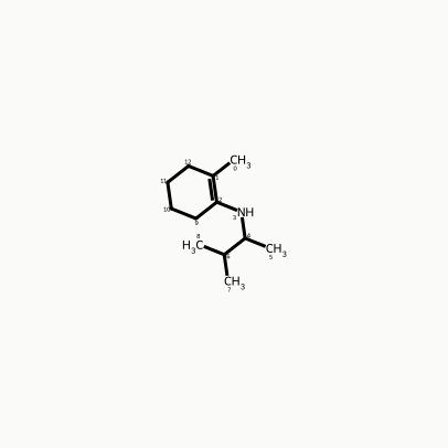 CC1=C(NC(C)C(C)C)CCCC1